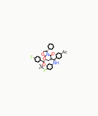 CC(=O)c1ccc([C@@H](Nc2ccc(F)cc2)[C@@H](CC[C@H](O[Si](C)(C)C)c2ccc(F)cc2)C(=O)N2C(=O)OC[C@@H]2c2ccccc2)cc1